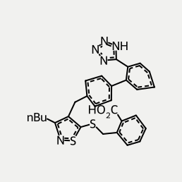 CCCCc1nsc(SCc2ccccc2C(=O)O)c1Cc1ccc(-c2ccccc2-c2nnn[nH]2)cc1